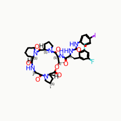 C[C@H]1C[C@H]2C(=O)O[C@@H](C)[C@H](NC(=O)[C@H](Cc3cc(F)cc(F)c3)NC(=O)Nc3ccc(I)cc3)C(=O)N3CCC[C@H]3C(=O)N3CCCC[C@H]3C(=O)N[C@@H](C)C(=O)N2C1